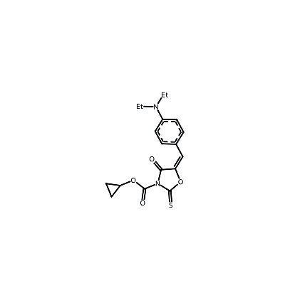 CCN(CC)c1ccc(/C=C2/OC(=S)N(C(=O)OC3CC3)C2=O)cc1